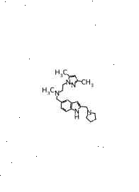 Cc1cc(C)n(CCN(C)Cc2ccc3[nH]c(CN4CCCC4)cc3c2)n1